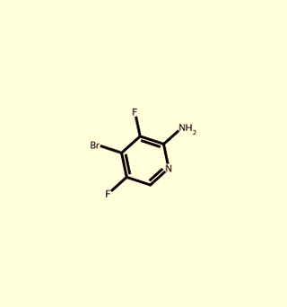 Nc1ncc(F)c(Br)c1F